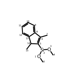 CO[Si](OC)C1=C(C)c2ccccc2C1C